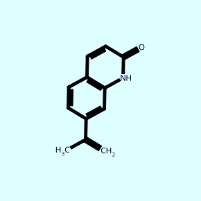 C=C(C)c1ccc2ccc(=O)[nH]c2c1